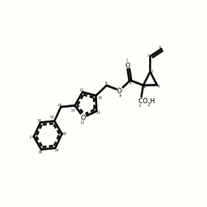 C=CC1CC1(C(=O)O)C(=O)OCc1coc(Cc2ccccc2)c1